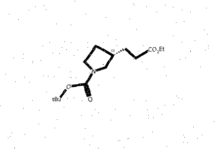 CCOC(=O)CC[C@H]1CCN(C(=O)OC(C)(C)C)C1